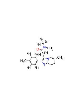 [2H]c1c([2H])c(-c2nc3ccc(C)cn3c2C([2H])([2H])C(=O)N(C)C([2H])([2H])[2H])c([2H])c([2H])c1C